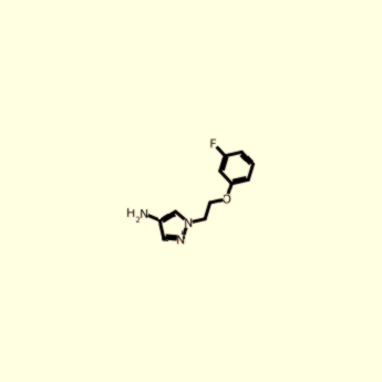 Nc1cnn(CCOc2cccc(F)c2)c1